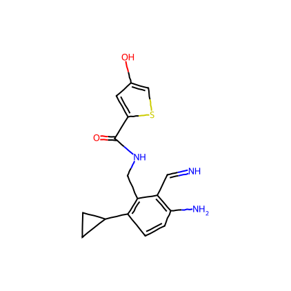 N=Cc1c(N)ccc(C2CC2)c1CNC(=O)c1cc(O)cs1